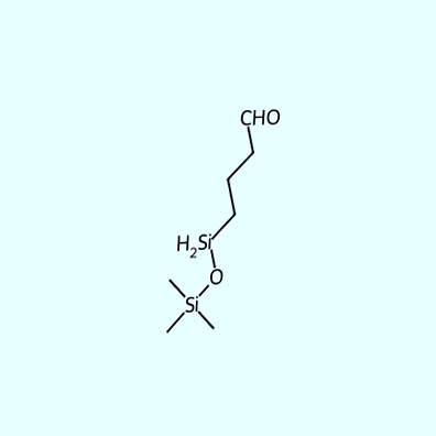 C[Si](C)(C)O[SiH2]CCCC=O